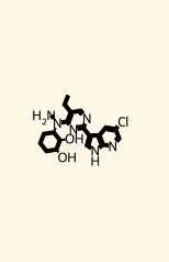 CCc1cnc(-c2c[nH]c3ncc(Cl)cc23)nc1N(N)[C@@H]1CCC[C@H](O)[C@@H]1O